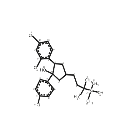 CC(C)(CCC1CC(c2ccc(Cl)cc2Cl)C(O)(c2ccc(Cl)cc2)C1)[Si](C)(C)O